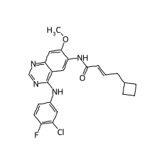 COc1cc2ncnc(Nc3ccc(F)c(Cl)c3)c2cc1NC(=O)C=CCC1CCC1